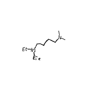 C[CH2][In]([CH2]C)[CH2]CCCN(C)C